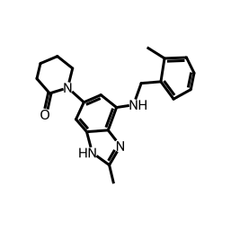 Cc1nc2c(NCc3ccccc3C)cc(N3CCCCC3=O)cc2[nH]1